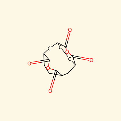 O=C1OC(=O)C2CCC1CC1CCC(C2)C(=O)OC1=O